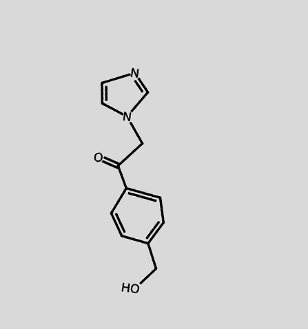 O=C(Cn1ccnc1)c1ccc(CO)cc1